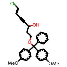 COc1ccc(C(OCCC(O)C#CC=CCl)(c2ccccc2)c2ccc(OC)cc2)cc1